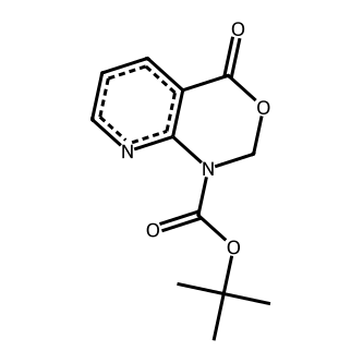 CC(C)(C)OC(=O)N1COC(=O)c2cccnc21